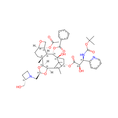 CC(=O)O[C@@]12CO[C@@H]1CC[C@@]1(C)[C@@H]3O[C@H](CN4CC[C@H]4CO)O[C@@H]3C3=C(C)[C@@H](OC(=O)[C@H](O)[C@@H](NC(=O)OC(C)(C)C)c4ccccn4)C[C@@](O)([C@@H](OC(=O)c4ccccc4)[C@@H]12)C3(C)C